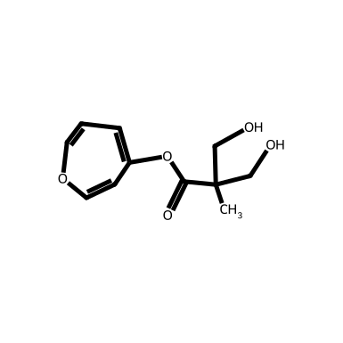 CC(CO)(CO)C(=O)OC1=CC=COC=C1